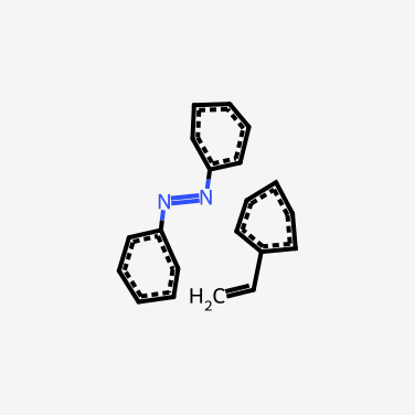 C=Cc1ccccc1.c1ccc(N=Nc2ccccc2)cc1